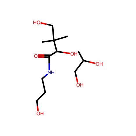 CC(C)(CO)C(O)C(=O)NCCCO.CC(O)CO